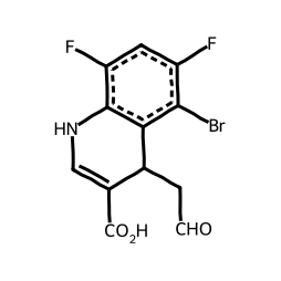 O=CCC1C(C(=O)O)=CNc2c(F)cc(F)c(Br)c21